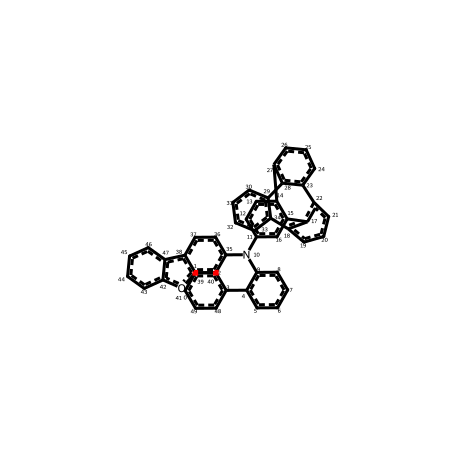 c1ccc(-c2ccccc2N(c2ccc3c(c2)-c2c4cccc2-c2cccc-3c2-c2ccccc2-4)c2ccc3c(c2)oc2ccccc23)cc1